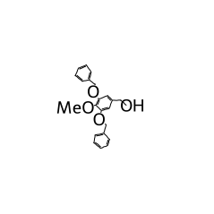 COc1c(OCc2ccccc2)cc(CO)cc1OCc1ccccc1